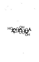 CC(C)[C@H]1C[C@H](O)[C@H](OC2C[C@H](O)[C@H](OC3C[C@H](O)[C@H](C)[C@@H](C)O3)[C@@H](C)O2)[C@@H](C)O1